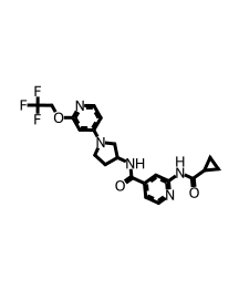 O=C(NC1CCN(c2ccnc(OCC(F)(F)F)c2)C1)c1ccnc(NC(=O)C2CC2)c1